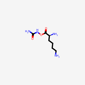 NCCCC[C@H](N)C(=O)ONC(N)=O